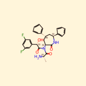 C[C@H](N)C(=O)N(C(=O)[C@@H](O)c1cc(F)cc(F)c1)[C@H]1C[C@H](c2ccccc2)C[C@@H](c2ccccc2)NC1=O